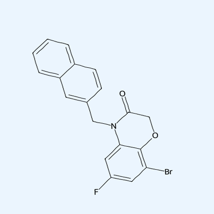 O=C1COc2c(Br)cc(F)cc2N1Cc1ccc2ccccc2c1